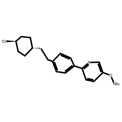 CCCCOc1ccc(-c2ccc(CC[C@H]3CC[C@H](CC)CC3)cc2)nc1